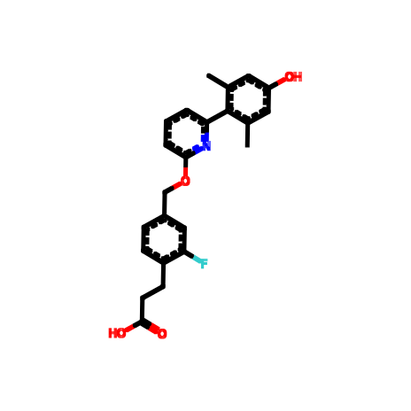 Cc1cc(O)cc(C)c1-c1cccc(OCc2ccc(CCC(=O)O)c(F)c2)n1